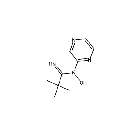 CC(C)(C)C(=N)N(O)c1cnccn1